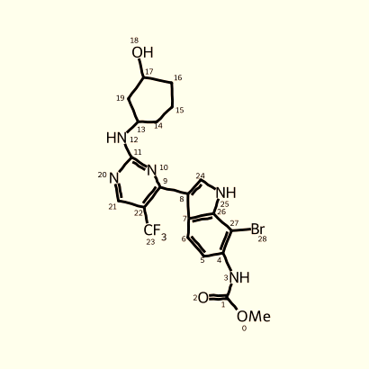 COC(=O)Nc1ccc2c(-c3nc(NC4CCCC(O)C4)ncc3C(F)(F)F)c[nH]c2c1Br